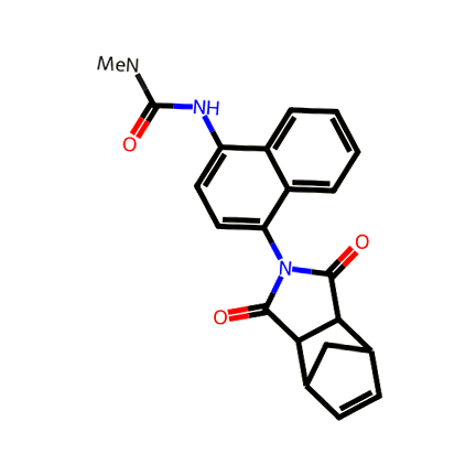 CNC(=O)Nc1ccc(N2C(=O)C3C4C=CC(C4)C3C2=O)c2ccccc12